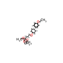 CCOc1ccc([C@H]2CC[C@H](OCCC[Si](OC)(OC)OC)CC2)cc1